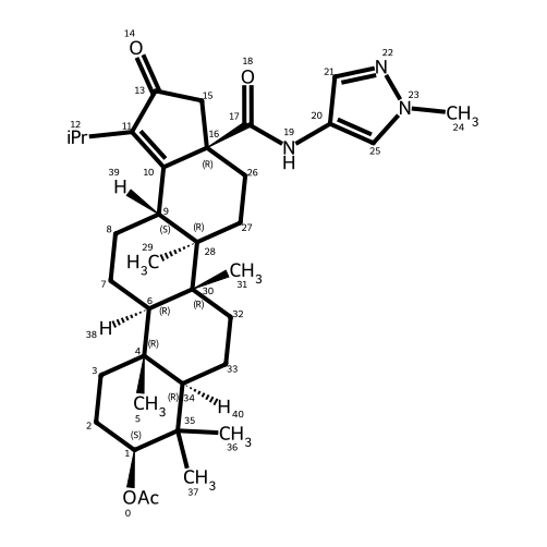 CC(=O)O[C@H]1CC[C@]2(C)[C@H]3CC[C@@H]4C5=C(C(C)C)C(=O)C[C@]5(C(=O)Nc5cnn(C)c5)CC[C@@]4(C)[C@]3(C)CC[C@H]2C1(C)C